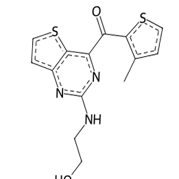 Cc1ccsc1C(=O)c1nc(NCCO)nc2ccsc12